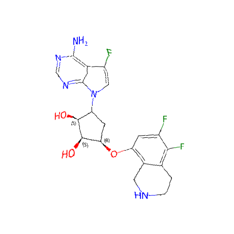 Nc1ncnc2c1c(F)cn2C1C[C@@H](Oc2cc(F)c(F)c3c2CNCC3)[C@@H](O)[C@H]1O